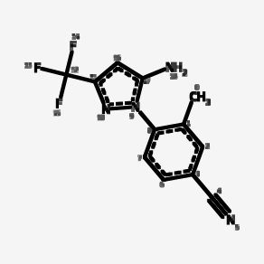 Cc1cc(C#N)ccc1-n1nc(C(F)(F)F)cc1N